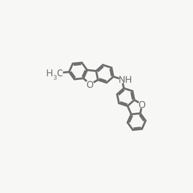 Cc1ccc2c(c1)oc1cc(Nc3ccc4c(c3)oc3ccccc34)ccc12